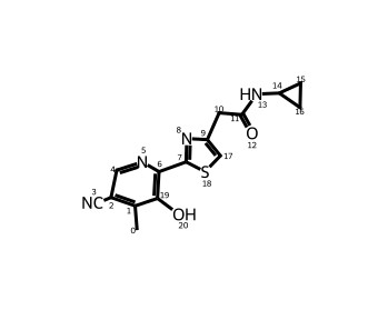 Cc1c(C#N)cnc(-c2nc(CC(=O)NC3CC3)cs2)c1O